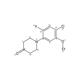 CCOc1cc(N2CCC(=O)CC2)c(F)cc1Cl